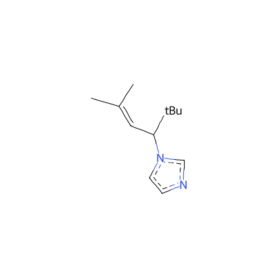 CC(C)=CC(n1ccnc1)C(C)(C)C